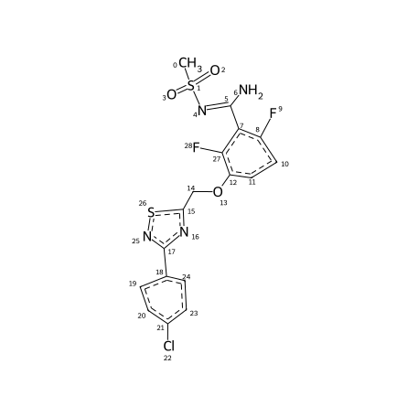 CS(=O)(=O)N=C(N)c1c(F)ccc(OCc2nc(-c3ccc(Cl)cc3)ns2)c1F